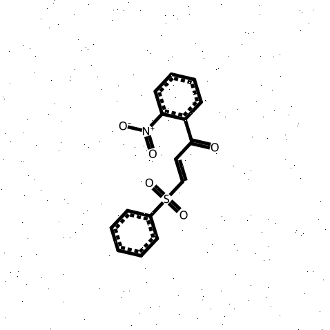 O=C(/C=C/S(=O)(=O)c1ccccc1)c1ccccc1[N+](=O)[O-]